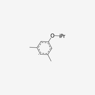 Cc1[c]c(C)cc(OC(C)C)c1